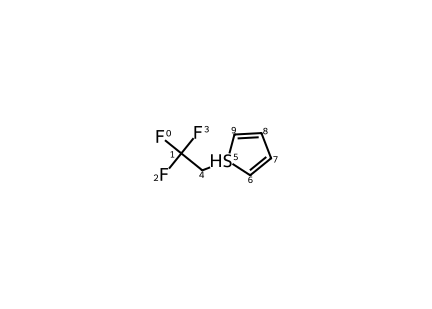 FC(F)(F)C[SH]1C=CC=C1